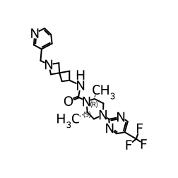 C[C@@H]1CN(c2ncc(C(F)(F)F)cn2)C[C@H](C)N1C(=O)NC1CC2(C1)CN(Cc1cccnc1)C2